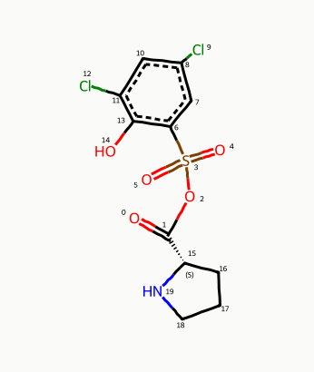 O=C(OS(=O)(=O)c1cc(Cl)cc(Cl)c1O)[C@@H]1CCCN1